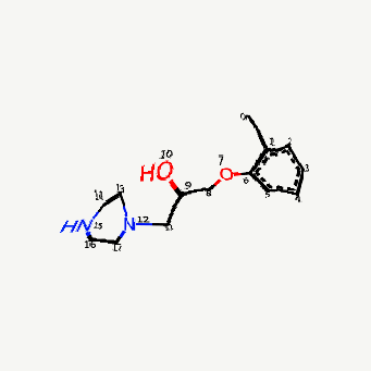 Cc1ccccc1OCC(O)CN1CCNCC1